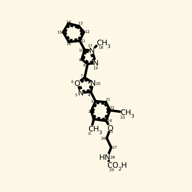 Cc1cc(-c2noc(-c3cc(-c4ccccc4)n(C)n3)n2)cc(C)c1OCCNC(=O)O